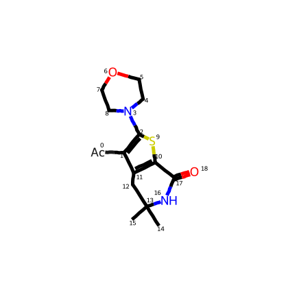 CC(=O)c1c(N2CCOCC2)sc2c1CC(C)(C)NC2=O